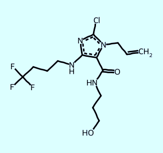 C=CCn1c(Cl)nc(NCCCC(F)(F)F)c1C(=O)NCCCO